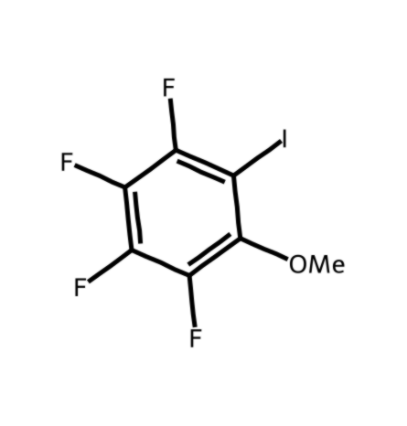 COc1c(F)c(F)c(F)c(F)c1I